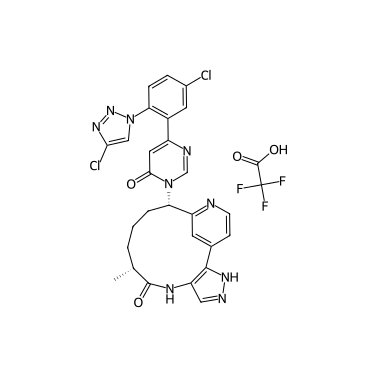 C[C@@H]1CCC[C@H](n2cnc(-c3cc(Cl)ccc3-n3cc(Cl)nn3)cc2=O)c2cc(ccn2)-c2[nH]ncc2NC1=O.O=C(O)C(F)(F)F